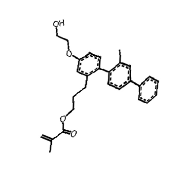 C=C(C)C(=O)OCCCc1cc(OCCO)ccc1-c1ccc(-c2ccccc2)cc1C